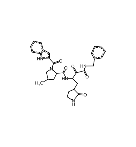 CC1CC(C(=O)NC(CC2CCNC2=O)C(=O)C(=O)NCc2ccccc2)N(C(=O)c2cc3ccccc3[nH]2)C1